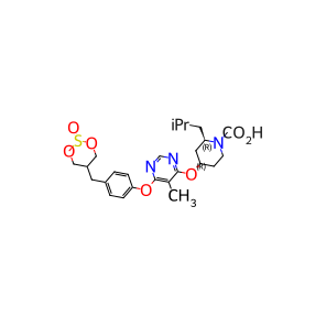 Cc1c(Oc2ccc(CC3COS(=O)OC3)cc2)ncnc1O[C@@H]1CCN(C(=O)O)[C@H](CC(C)C)C1